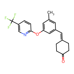 Cc1cc(C=C2CCC(=O)CC2)cc(Oc2ccc(C(F)(F)F)cn2)c1